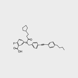 CCCCc1ccc(C#Cc2ccc(CN(C(=O)CCC3CCCC3)c3ccc(F)c(C(=O)O)c3)cc2)cc1